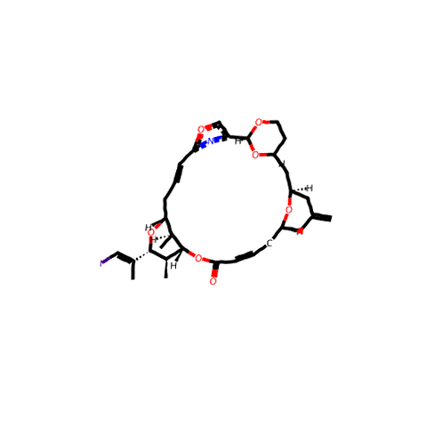 C=C1C[C@@H]2C[C@@H]3CCO[C@@H](O3)c3coc(n3)/C=C/C[C@H]3O[C@@H](/C(C)=C/I)[C@H](C)[C@@H](OC(=O)/C=C\C[C@@H](C1)O2)[C@H]3C